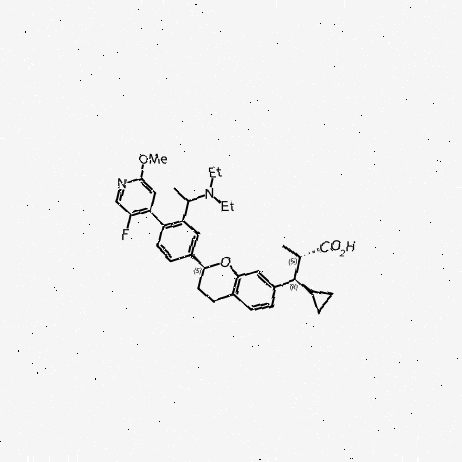 CCN(CC)C(C)c1cc([C@@H]2CCc3ccc([C@H](C4CC4)[C@H](C)C(=O)O)cc3O2)ccc1-c1cc(OC)ncc1F